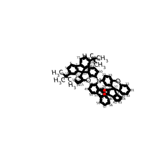 CC(C)(C)c1ccc2c(c1)C1(c3ccccc3Oc3c(N(c4ccc5c(c4)C4(c6ccccc6O5)c5ccccc5-c5ccccc54)c4cccc5c4sc4ccccc45)cccc31)c1cc(C(C)(C)C)ccc1-2